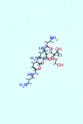 CC[C@@H](O)[C@H](OCCO)O[C@@H]1[C@@H](O)[C@H](O[C@@H]2CCC=C(CNCCCN)O2)[C@@H](N)C[C@H]1NC(=O)CCN